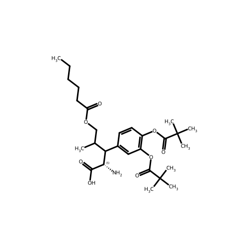 CCCCCC(=O)OCC(C)C(c1ccc(OC(=O)C(C)(C)C)c(OC(=O)C(C)(C)C)c1)[C@H](N)C(=O)O